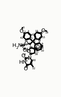 COc1ccc(C(c2ccccc2)(c2ccc(OC)cc2)C(OP(N)O)[C@H]2O[C@@H](n3cc(C)c(=O)[nH]c3=O)C[C@@H]2O)cc1